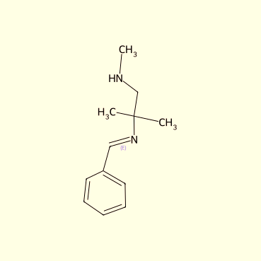 CNCC(C)(C)/N=C/c1ccccc1